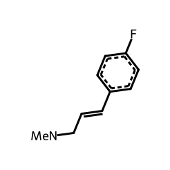 CNC/C=C/c1ccc(F)cc1